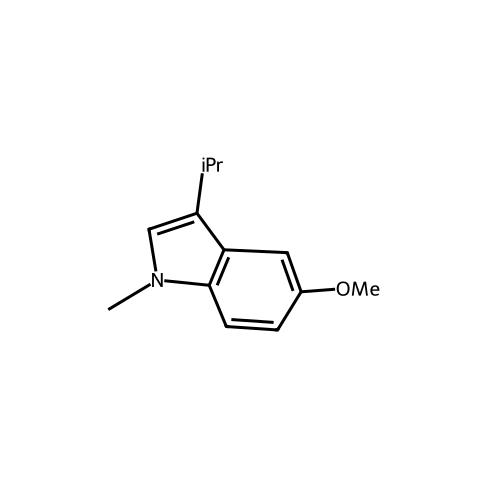 COc1ccc2c(c1)c(C(C)C)cn2C